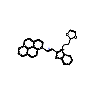 C1=COC(CC[n+]2c(/C=C/c3ccc4ccc5cccc6ccc3c4c56)sc3ccccc32)O1